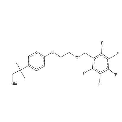 CC(C)(C)CC(C)(C)c1ccc(OCCOCc2c(F)c(F)c(F)c(F)c2F)cc1